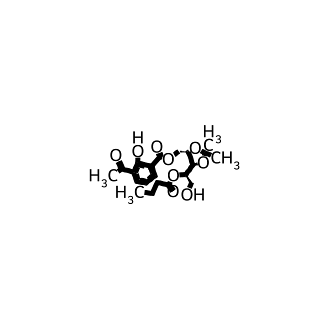 CCCC(=O)O[C@H](CO)[C@@H]1OC(C)(C)O[C@H]1COC(=O)c1cccc(C(C)=O)c1O